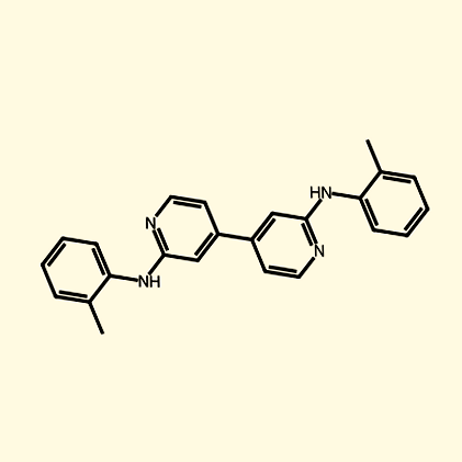 Cc1ccccc1Nc1cc(-c2ccnc(Nc3ccccc3C)c2)ccn1